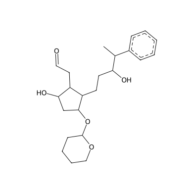 CC(c1ccccc1)C(O)CCC1C(OC2CCCCO2)CC(O)C1CC=O